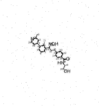 Cc1cc(-c2cccc(C(CCc3ccc(C(=O)NCCO)cc3)=NO)c2C)ccn1